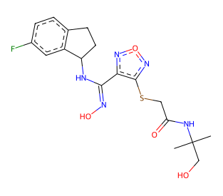 CC(C)(CO)NC(=O)CSc1nonc1/C(=N/O)NC1CCc2ccc(F)cc21